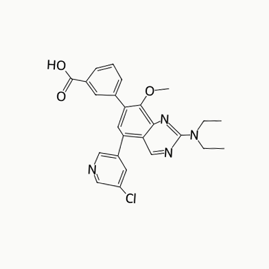 CCN(CC)c1ncc2c(-c3cncc(Cl)c3)cc(-c3cccc(C(=O)O)c3)c(OC)c2n1